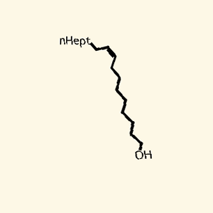 [CH2]CCCCCCC/C=C\CCCCCCCCO